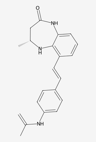 C=C(C)Nc1ccc(/C=C/c2cccc3c2N[C@H](C)CC(=O)N3)cc1